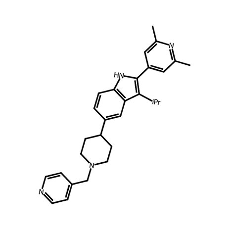 Cc1cc(-c2[nH]c3ccc(C4CCN(Cc5ccncc5)CC4)cc3c2C(C)C)cc(C)n1